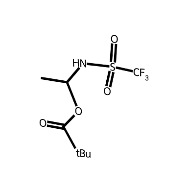 CC(NS(=O)(=O)C(F)(F)F)OC(=O)C(C)(C)C